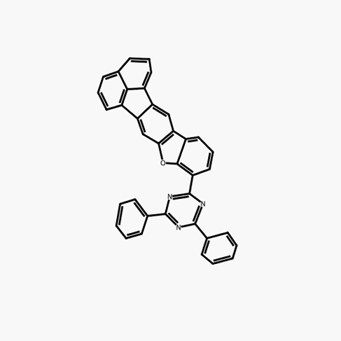 c1ccc(-c2nc(-c3ccccc3)nc(-c3cccc4c3oc3cc5c(cc34)-c3cccc4cccc-5c34)n2)cc1